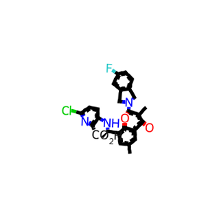 Cc1cc([C@@H](C)Nc2ccc(Cl)nc2C(=O)O)c2oc(N3Cc4ccc(F)cc4C3)c(C)c(=O)c2c1